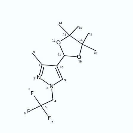 Cc1nn(CC(F)(F)F)cc1C1OC(C)(C)C(C)(C)O1